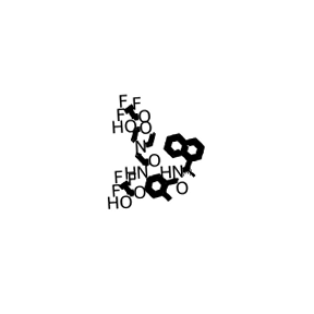 Cc1ccc(NC(=O)CN2CCOCC2)cc1C(=O)N[C@H](C)c1cccc2ccccc12.O=C(O)C(F)(F)F.O=C(O)C(F)(F)F